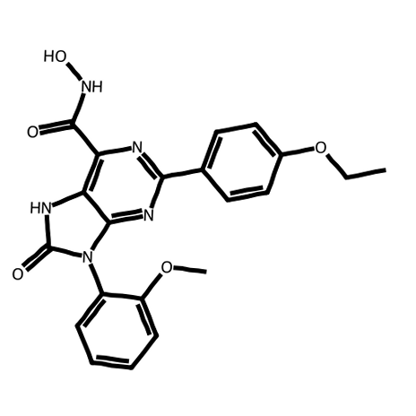 CCOc1ccc(-c2nc(C(=O)NO)c3[nH]c(=O)n(-c4ccccc4OC)c3n2)cc1